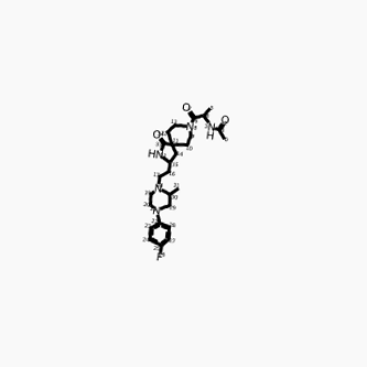 CC(=O)NC(C)C(=O)N1CCC2(CC1)CC(CCN1CCN(c3ccc(F)cc3)CC1C)NC2=O